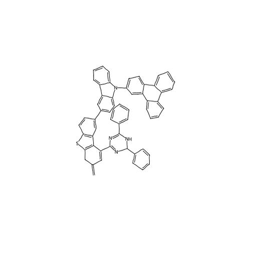 C=C1C=C(C2=NC(c3ccccc3)NC(c3ccccc3)=N2)c2c(sc3ccc(-c4ccc5c(c4)c4ccccc4n5-c4ccc5c6ccccc6c6ccccc6c5c4)cc23)C1